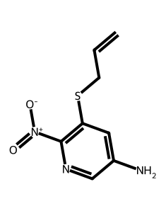 C=CCSc1cc(N)cnc1[N+](=O)[O-]